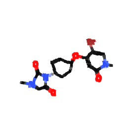 CN1CC(=O)N([C@H]2CC[C@H](Oc3cc(=O)n(C)cc3Br)CC2)C1=O